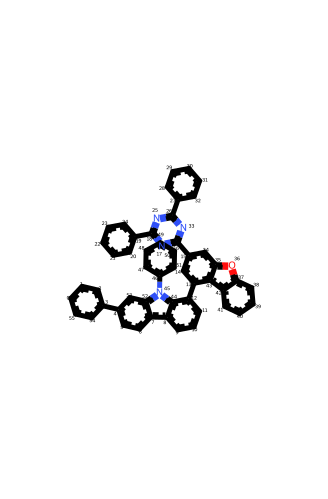 c1ccc(-c2ccc3c4cccc(-c5cc(-c6nc(-c7ccccc7)nc(-c7ccccc7)n6)cc6oc7ccccc7c56)c4n(-c4ccccc4)c3c2)cc1